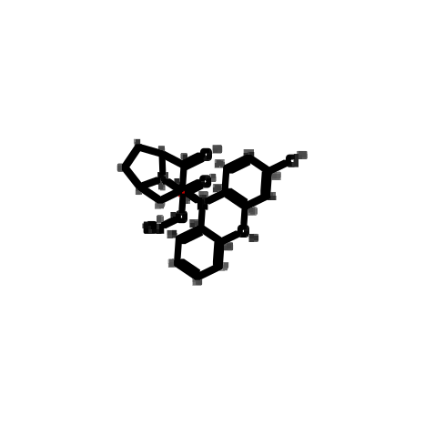 CC(C)(C)OC(=O)N1C2CCC1C(=O)C(N1c3ccccc3Oc3cc(Cl)ccc31)C2